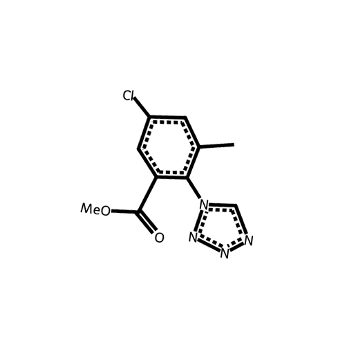 COC(=O)c1cc(Cl)cc(C)c1-n1cnnn1